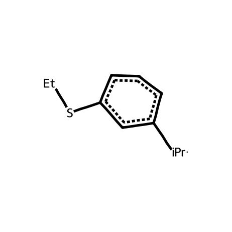 CCSc1cccc([C](C)C)c1